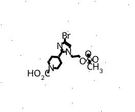 CS(=O)(=O)OCCn1cc(Br)nc1C1CCN(C(=O)O)CC1